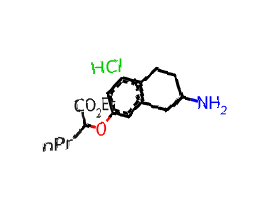 CCCC(Oc1ccc2c(c1)CC(N)CC2)C(=O)OCC.Cl